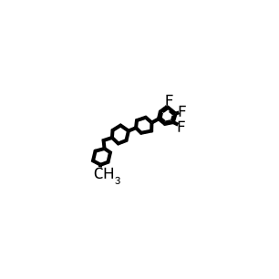 CC1CCC(CC2CCC(C3CCC(c4cc(F)c(F)c(F)c4)CC3)CC2)CC1